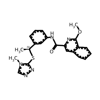 COc1nc(C(=O)Nc2cccc([C@H](C)Sc3nncn3C)c2)cc2ccccc12